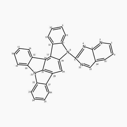 c1cnc2nc(-n3c4ccccc4c4c5c6ccccc6n6c7ccccc7c(cc43)c56)ncc2c1